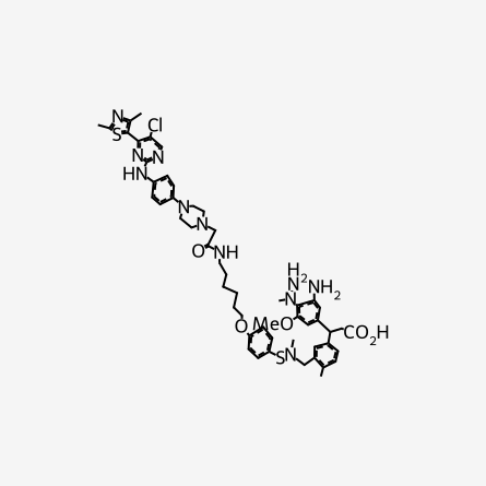 COc1cc(C(CC(=O)O)c2ccc(C)c(CN(C)Sc3ccc(OCCCCCCNC(=O)CN4CCN(c5ccc(Nc6ncc(Cl)c(-c7sc(C)nc7C)n6)cc5)CC4)cc3)c2)cc(N)c1N(C)N